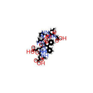 CCC[C@H](NC(=O)[C@@H]1CCCN1C(=O)[C@@H](NC(=O)[C@@H](NC(=O)[C@H](CCC(=O)O)NC(=O)[C@H](CCC(=O)O)NC(C)=O)C(c1ccccc1)c1ccccc1)C(C)C)C(=O)C(=O)NCC(=O)O